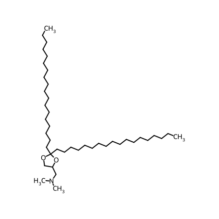 CCCCCCCCCCCCCCCCCCC1(CCCCCCCCCCCCCCCCCC)OCC(CN(C)C)O1